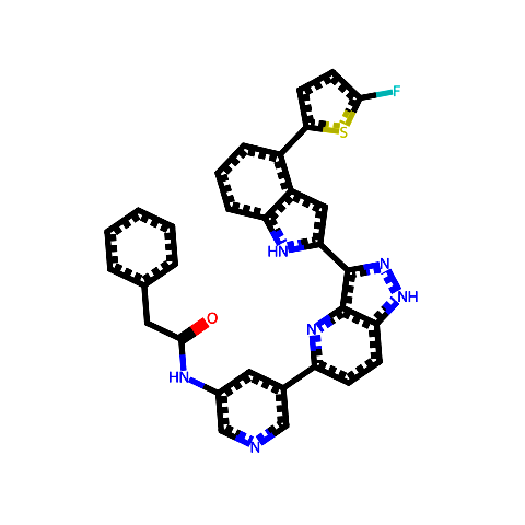 O=C(Cc1ccccc1)Nc1cncc(-c2ccc3[nH]nc(-c4cc5c(-c6ccc(F)s6)cccc5[nH]4)c3n2)c1